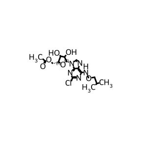 CC(=O)OC[C@H]1O[C@@H](n2cnc3c(NOCC(C)C)nc(Cl)nc32)C(O)C1O